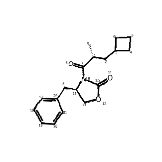 C[C@H](CC1CCC1)C(=O)N1C(=O)OC[C@H]1Cc1ccccc1